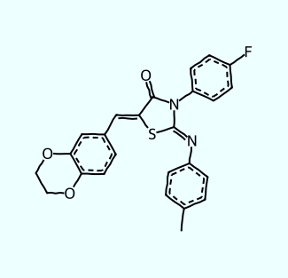 Cc1ccc(/N=C2\S/C(=C\c3ccc4c(c3)OCCO4)C(=O)N2c2ccc(F)cc2)cc1